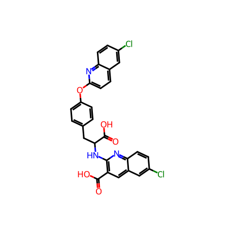 O=C(O)c1cc2cc(Cl)ccc2nc1NC(Cc1ccc(Oc2ccc3cc(Cl)ccc3n2)cc1)C(=O)O